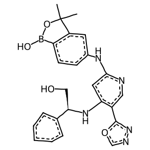 CC1(C)OB(O)c2ccc(Nc3cc(N[C@H](CO)c4ccccc4)c(-c4nnco4)cn3)cc21